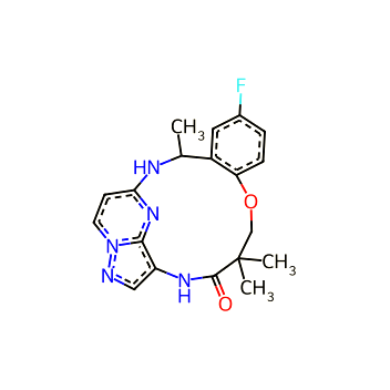 CC1Nc2ccn3ncc(c3n2)NC(=O)C(C)(C)COc2ccc(F)cc21